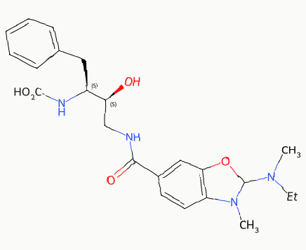 CCN(C)C1Oc2cc(C(=O)NC[C@H](O)[C@H](Cc3ccccc3)NC(=O)O)ccc2N1C